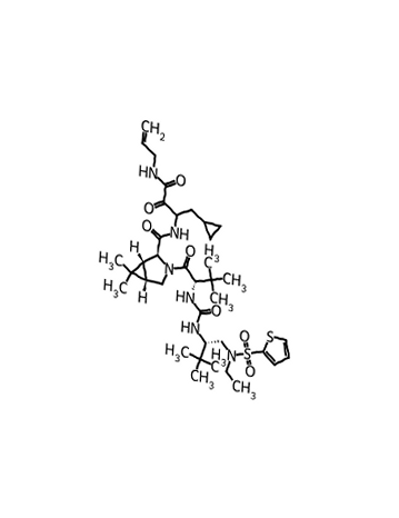 C=CCNC(=O)C(=O)C(CC1CC1)NC(=O)[C@@H]1[C@@H]2[C@H](CN1C(=O)[C@@H](NC(=O)N[C@H](CN(CC)S(=O)(=O)c1cccs1)C(C)(C)C)C(C)(C)C)C2(C)C